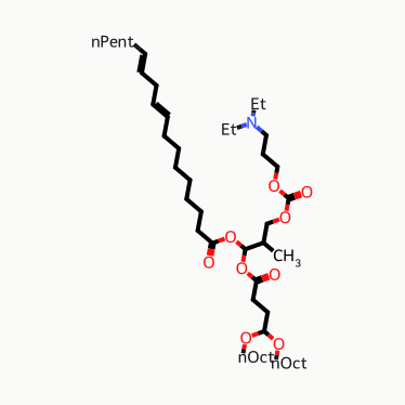 CCCCCC=CCC=CCCCCCCCC(=O)OC(OC(=O)CCC(OCCCCCCCC)OCCCCCCCC)C(C)COC(=O)OCCCN(CC)CC